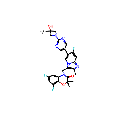 Cc1nc2cc(F)c(-c3cnc(N4CC(O)(C(F)(F)F)C4)nc3)cn2c1CN1C(=O)C(C)(C)Oc2c(F)cc(F)cc21